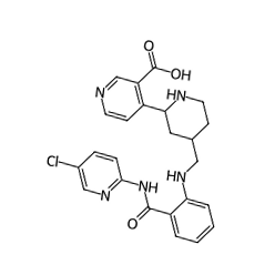 O=C(Nc1ccc(Cl)cn1)c1ccccc1NCC1CCNC(c2ccncc2C(=O)O)C1